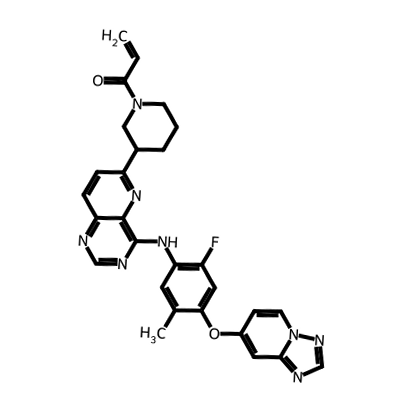 C=CC(=O)N1CCCC(c2ccc3ncnc(Nc4cc(C)c(Oc5ccn6ncnc6c5)cc4F)c3n2)C1